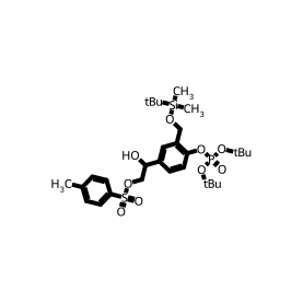 Cc1ccc(S(=O)(=O)OCC(O)c2ccc(OP(=O)(OC(C)(C)C)OC(C)(C)C)c(CO[Si](C)(C)C(C)(C)C)c2)cc1